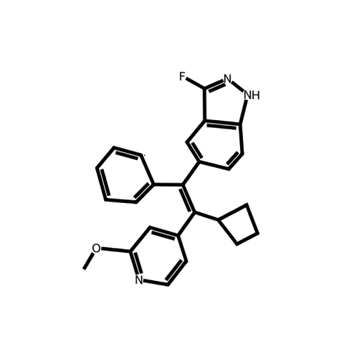 COc1cc(/C(=C(\c2[c]cccc2)c2ccc3[nH]nc(F)c3c2)C2CCC2)ccn1